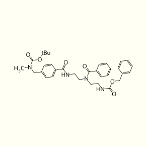 CN(Cc1ccc(C(=O)NCCN(CCNC(=O)OCc2ccccc2)C(=O)c2ccccc2)cc1)C(=O)OC(C)(C)C